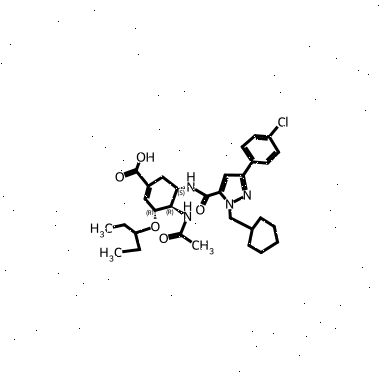 CCC(CC)O[C@@H]1C=C(C(=O)O)C[C@H](NC(=O)c2cc(-c3ccc(Cl)cc3)nn2CC2CCCCC2)[C@H]1NC(C)=O